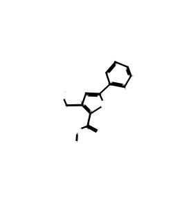 COC(=O)c1sc(-c2ccccc2)cc1CBr